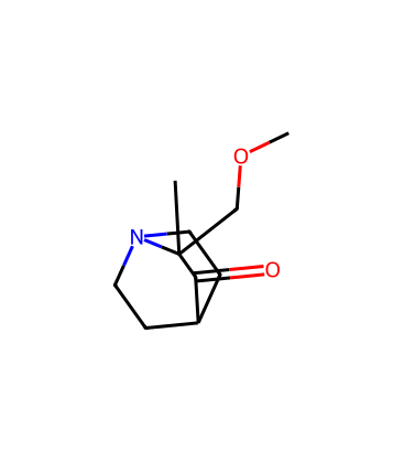 COCC1(C)C(=O)C2CCN1CC2